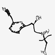 CC(C)(CO)NC[C@H](O)c1cccc(C#N)n1